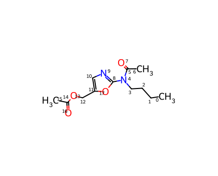 CCCCN(C(C)=O)c1ncc(COC(C)=O)o1